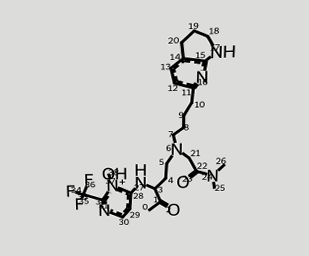 CC(=O)C(CCN(CCCCc1ccc2c(n1)NCCC2)CC(=O)N(C)C)Nc1ccnc(C(F)(F)F)[n+]1O